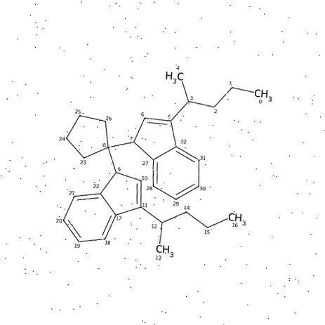 CCCC(C)C1=CC(C2(C3C=C(C(C)CCC)c4ccccc43)CCCC2)c2ccccc21